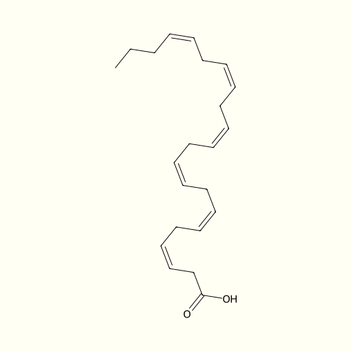 CCC/C=C\C/C=C\C/C=C\C/C=C\C/C=C\C/C=C\CC(=O)O